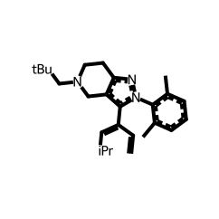 C=C/C(=C\C(C)C)c1c2c(nn1-c1c(C)cccc1C)CCN(CC(C)(C)C)C2